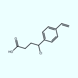 C=Cc1ccc(C(Cl)CCC(=O)O)cc1